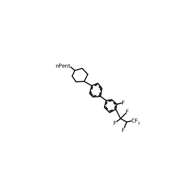 CCCCCC1CCC(c2ccc(-c3ccc(C(F)(F)C(F)C(F)(F)F)c(F)c3)cc2)CC1